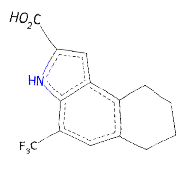 O=C(O)c1cc2c3c(cc(C(F)(F)F)c2[nH]1)CCCC3